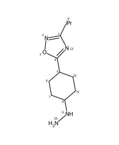 CC(C)c1noc(C2CCC(NN)CC2)n1